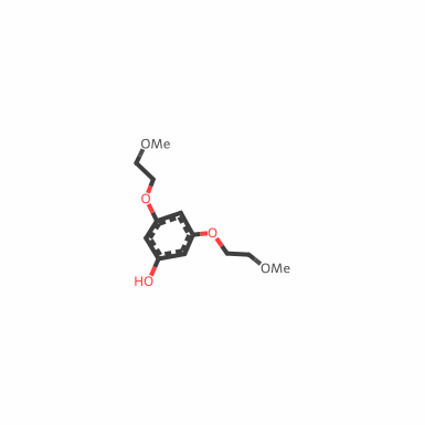 COCCOc1cc(O)cc(OCCOC)c1